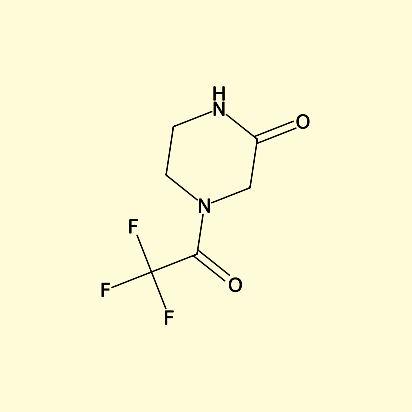 O=C1CN(C(=O)C(F)(F)F)CCN1